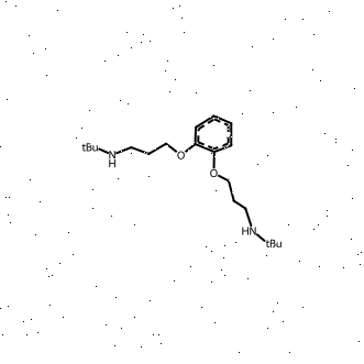 CC(C)(C)NCCCOc1ccccc1OCCCNC(C)(C)C